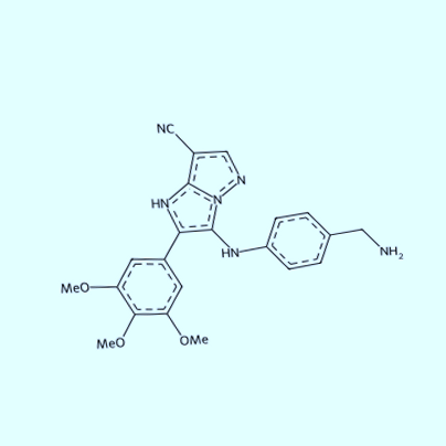 COc1cc(-c2[nH]c3c(C#N)cnn3c2Nc2ccc(CN)cc2)cc(OC)c1OC